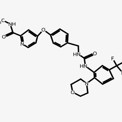 CNC(=O)c1cc(Oc2ccc(CNC(=O)Nc3cc(C(F)(F)F)ccc3N3CCOCC3)cc2)ccn1